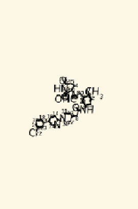 Cc1ccc(NC(=O)CC2CCN(c3ccc(-c4cccc(Cl)c4)cn3)CC2)cc1CN(C=O)C1CCC(=O)NC1=O